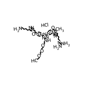 C#CCOCCOCCOCCNc1nc(N2CCN(C(=O)Cn3cc(CCCCN)nn3)CC2)nc(N2CCN(C(=O)[C@H](C)n3cc(CCCN=C(N)N)nn3)CC2)n1.Cl